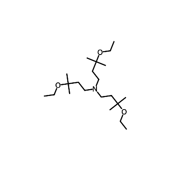 CCOC(C)(C)CCN(CCC(C)(C)OCC)CCC(C)(C)OCC